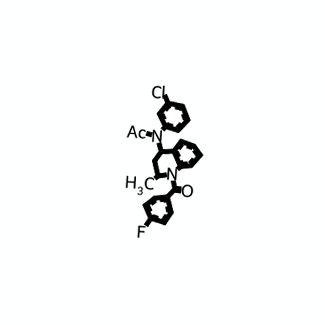 CC(=O)N(c1cccc(Cl)c1)C1CC(C)N(C(=O)c2ccc(F)cc2)c2ccccc21